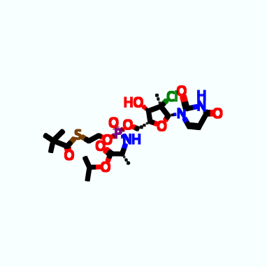 CC(C)OC(=O)[C@@H](C)N[P@](=O)(OCCSC(=O)C(C)(C)C)OC[C@H]1O[C@@H](n2ccc(=O)[nH]c2=O)[C@](C)(Cl)[C@@H]1O